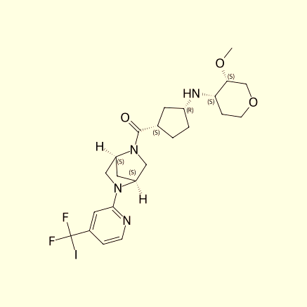 CO[C@@H]1COCC[C@@H]1N[C@@H]1CC[C@H](C(=O)N2C[C@@H]3C[C@H]2CN3c2cc(C(F)(F)I)ccn2)C1